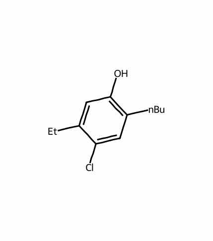 CCCCc1cc(Cl)c(CC)cc1O